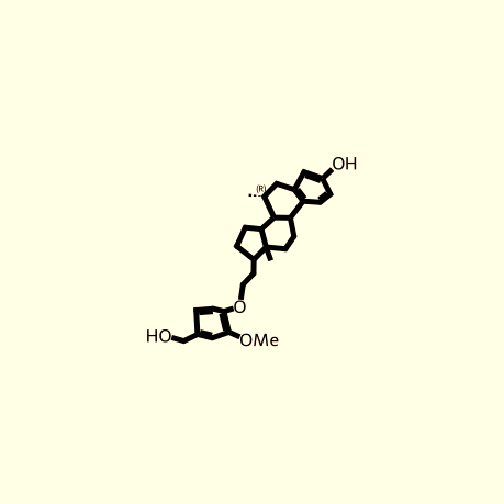 COc1cc(CO)ccc1OCCC1CCC2C3C(CCC12C)c1ccc(O)cc1C[C@H]3C